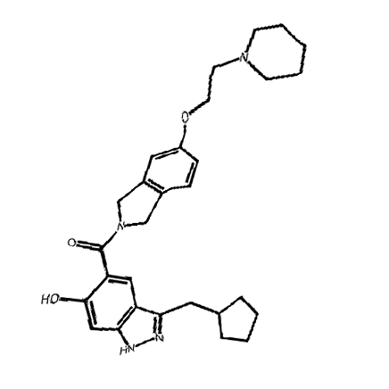 O=C(c1cc2c(CC3CCCC3)n[nH]c2cc1O)N1Cc2ccc(OCCN3CCCCC3)cc2C1